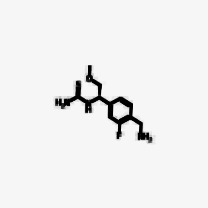 COC[C@H](NC(N)=S)c1ccc(CN)c(F)c1